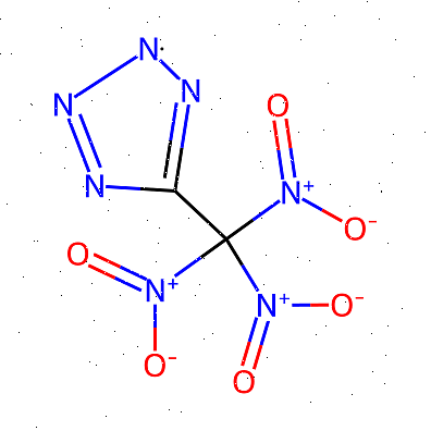 O=[N+]([O-])C(C1=N[N]N=N1)([N+](=O)[O-])[N+](=O)[O-]